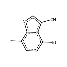 CCc1ccc(C)c2ncc(C#N)n12